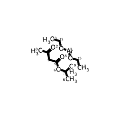 CC(=O)CC(=O)OC(C)C.CC[O][Al][O]CC